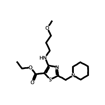 CCOC(=O)c1sc(CN2CCCCC2)nc1NCCCOC